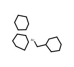 C1CCCCC1.C1CCCCC1.CC(=O)CC1CCCCC1